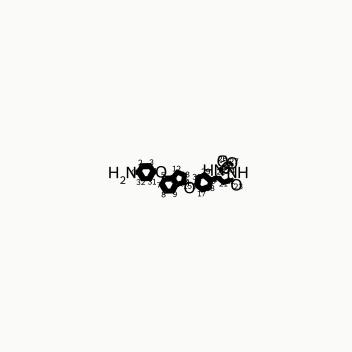 Nc1ccc(Oc2cccc3c2CC[C@H]3Oc2ccc(C3CC(=O)NS(=O)(=O)N3)cc2)cc1